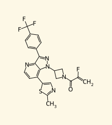 C=C(F)C(=O)N1CC(n2nc(-c3ccc(C(F)(F)F)cc3)c3nccc(-c4cnc(C)s4)c32)C1